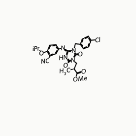 COC(=O)[C@@H](C)Cn1c(=O)[nH]/c(=N\c2ccc(OC(C)C)c(C#N)c2)n(Cc2ccc(Cl)cc2)c1=O